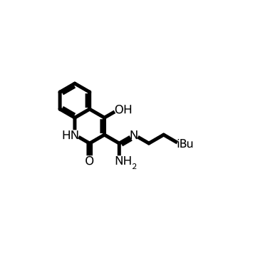 CCC(C)CCN=C(N)c1c(O)c2ccccc2[nH]c1=O